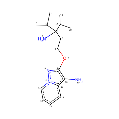 CC(C)C(N)(CCOc1nn2ccccc2c1N)C(C)C